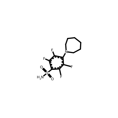 NS(=O)(=O)c1c(F)c(F)c(N2CCCCCC2)c(F)c1F